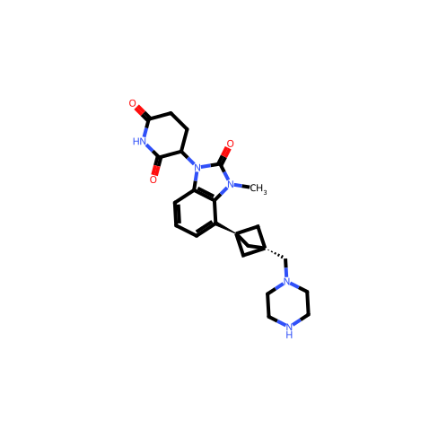 Cn1c(=O)n(C2CCC(=O)NC2=O)c2cccc([C@]34C[C@@](CN5CCNCC5)(C3)C4)c21